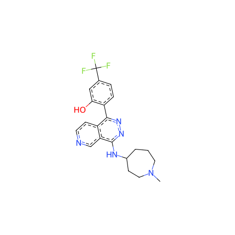 CN1CCCC(Nc2nnc(-c3ccc(C(F)(F)F)cc3O)c3ccncc23)CC1